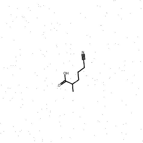 CC(CCCC#N)C(=O)O